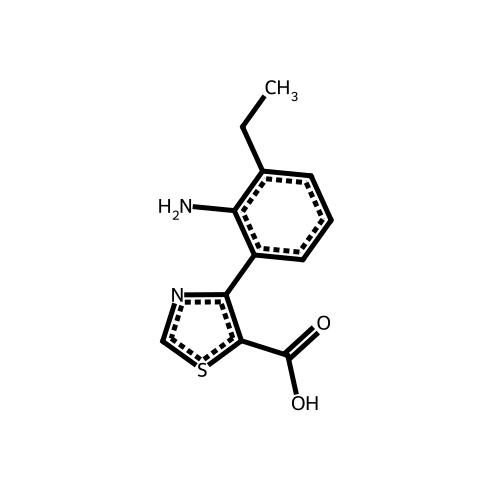 CCc1cccc(-c2ncsc2C(=O)O)c1N